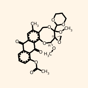 CO[C@@H]1Oc2c(c(C)cc3c2C(=O)c2c(OC(C)=O)cccc2C3=O)COC(OC)(C2OCCCO2)[C@]12CO2